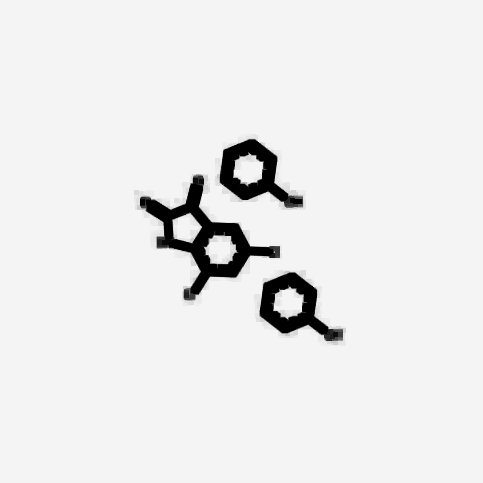 O=C1Nc2c(Cl)cc(Cl)cc2C1=O.Oc1ccccc1.Oc1ccccc1